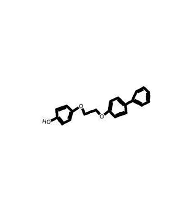 Oc1ccc(OCCOc2ccc(-c3ccccc3)cc2)cc1